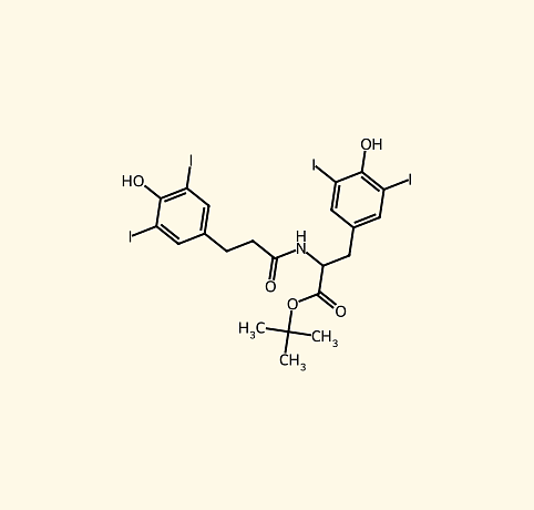 CC(C)(C)OC(=O)C(Cc1cc(I)c(O)c(I)c1)NC(=O)CCc1cc(I)c(O)c(I)c1